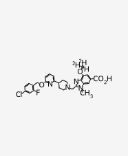 [2H]C([2H])([2H])Oc1cc(C(=O)O)cc2c1nc(CN1CCC(c3cccc(OCc4ccc(Cl)cc4F)n3)CC1)n2C